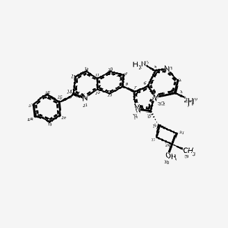 [2H]c1cnc(N)c2c(-c3ccc4ccc(-c5ccccc5)nc4c3)nc([C@H]3C[C@@](C)(O)C3)n12